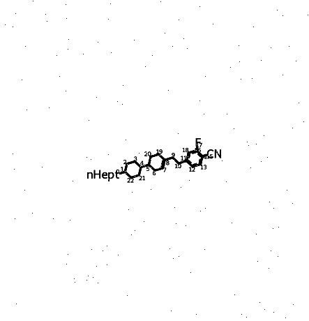 CCCCCCCC1CCC(C2CC=C(CCc3ccc(C#N)c(F)c3)CC2)CC1